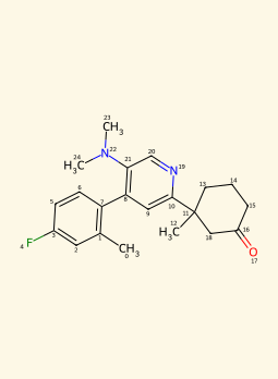 Cc1cc(F)ccc1-c1cc(C2(C)CCCC(=O)C2)ncc1N(C)C